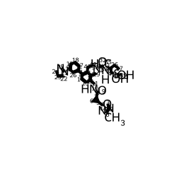 Cc1noc(C2CC2C(=O)NCc2ccc(-c3cccc(-n4cccn4)c3)c3c2CN(C(=O)N[C@@]2(C)CCS(O)(O)C2)CC3)n1